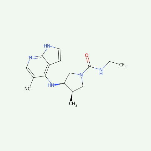 C[C@@H]1CN(C(=O)NCC(F)(F)F)C[C@@H]1Nc1c(C#N)cnc2[nH]ccc12